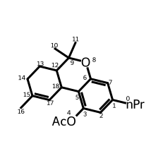 CCCc1cc(OC(C)=O)c2c(c1)OC(C)(C)C1CCC(C)=CC21